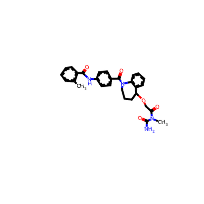 Cc1ccccc1C(=O)Nc1ccc(C(=O)N2CCCC(OCC(=O)N(C)C(N)=O)c3ccccc32)cc1